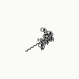 CCCCCCCCCCC[C@@H](NC(=O)OC(C)(C)C)NC(=O)[C@@H]1O[C@H](COC(C)=O)[C@@H](OC(C)=O)[C@H](OC(C)=O)[C@@H]1NC(C)=O